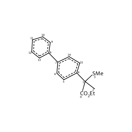 CCOC(=O)C(C)(SC)c1ccc(-c2ccccc2)cc1